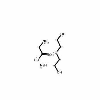 NCC(=O)O.OCCOCCO.[NaH]